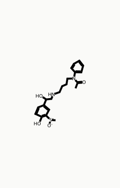 CC(=O)N(CCCCNCC(O)c1ccc(O)c([S+](C)[O-])c1)c1ccccc1